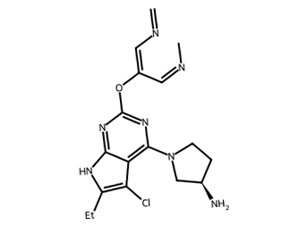 C=N/C=C(\C=N/C)Oc1nc(N2CC[C@@H](N)C2)c2c(Cl)c(CC)[nH]c2n1